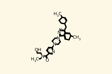 CCN(CCO)C(=O)c1ccc(N2CCN(c3nnc(CC4C=CC(C)CC4)c4c3=CCC(C)C=4)CC2)nc1